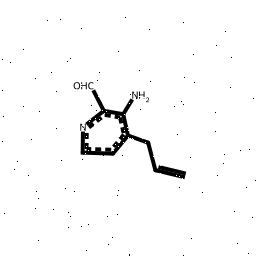 C=CCc1ccnc(C=O)c1N